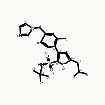 Cc1cc(Cn2ccnc2)ccc1-c1cc(CC(C)C)sc1S(=O)(=O)NC(C)(C)C